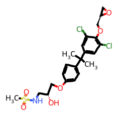 CC(C)(c1ccc(OC[C@H](O)CNS(C)(=O)=O)cc1)c1cc(Cl)c(OC[C@H]2CO2)c(Cl)c1